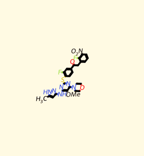 COc1c(Nc2cc(C)[nH]n2)nc(Sc2ccc(C(=O)Cc3cccc([N+](=O)[O-])c3F)cc2F)nc1N1CCOCC1